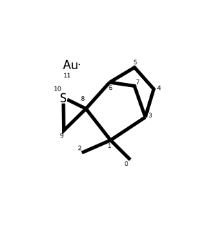 CC1(C)C2CCC(C2)C12CS2.[Au]